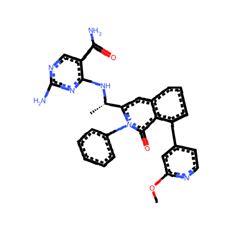 COc1cc(-c2cccc3cc([C@H](C)Nc4nc(N)ncc4C(N)=O)n(-c4ccccc4)c(=O)c23)ccn1